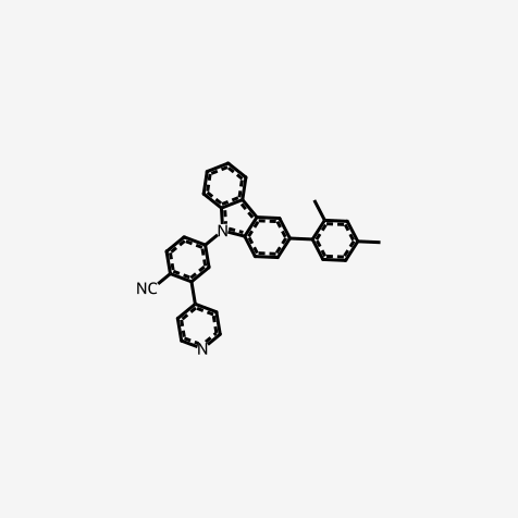 Cc1ccc(-c2ccc3c(c2)c2ccccc2n3-c2ccc(C#N)c(-c3ccncc3)c2)c(C)c1